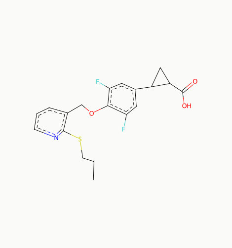 CCCSc1ncccc1COc1c(F)cc(C2CC2C(=O)O)cc1F